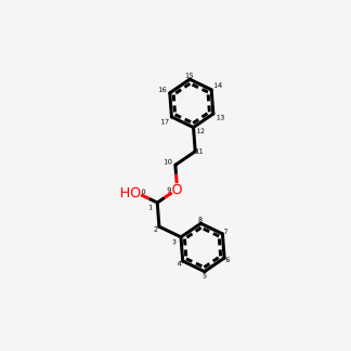 OC(Cc1ccccc1)OCCc1ccccc1